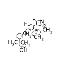 COc1cc(-c2cc(F)c(COc3cccc(C(C)(C)CC(=O)O)c3)cc2[C@@H]2CCCC2(C)C)c(F)cn1